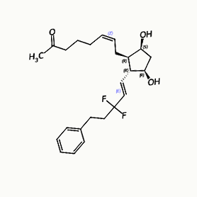 CC(=O)CCC/C=C\C[C@@H]1[C@@H](/C=C/C(F)(F)CCc2ccccc2)[C@H](O)C[C@@H]1O